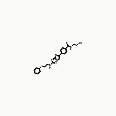 O=C(NCCO)c1ccc(-c2cn3nc(NCCOc4ccccc4)sc3n2)cc1